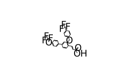 O=C(O)/C=C/c1ccc(-c2ccc(OC(F)(F)F)cc2)cc1Oc1ccc(C(F)(F)F)cc1